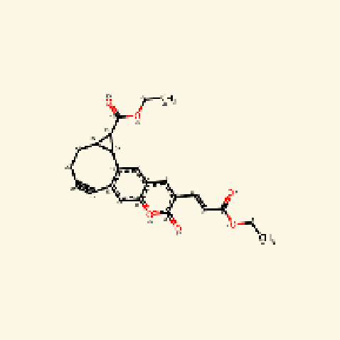 CCOC(=O)/C=C/c1cc2cc3c(cc2oc1=O)C#CCCC1C(C(=O)OCC)C31